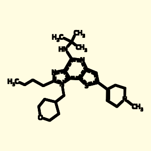 CCCCc1nc2c(NC(C)(C)C)nc3cc(C4=CCN(C)CC4)sc3c2n1CC1CCOCC1